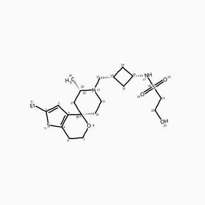 CCc1cc2c(s1)CCO[C@@]21CCN(C[C@H]2C[C@@H](NS(=O)(=O)CCO)C2)[C@@H](C)C1